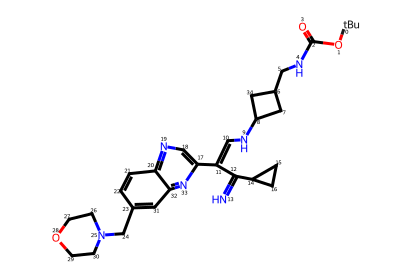 CC(C)(C)OC(=O)NCC1CC(N/C=C(\C(=N)C2CC2)c2cnc3ccc(CN4CCOCC4)cc3n2)C1